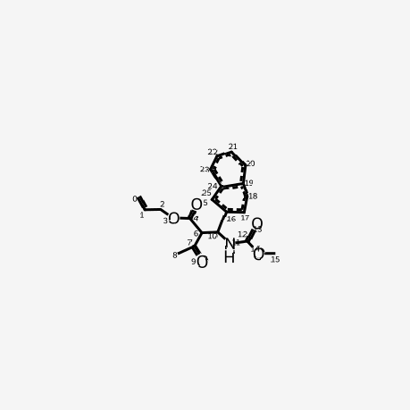 C=CCOC(=O)C(C(C)=O)C(NC(=O)OC)c1ccc2ccccc2c1